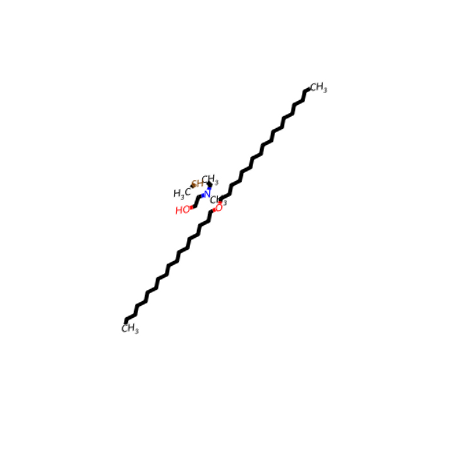 CCCCCCCCCCCCCCCCCCOCCCCCCCCCCCCCCCCCC.CCN(C)CCO.CS